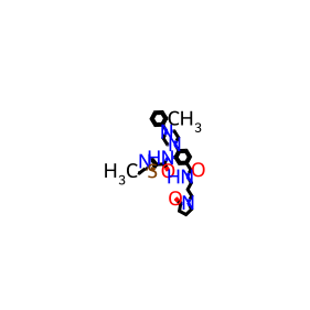 CCc1ncc(C(=O)Nc2cc(C(=O)NCCCN3CCCC3=O)ccc2N2CCN(c3ccccc3C)CC2)s1